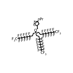 CCCC1=NOC(CO[Si](CCC(F)(F)C(F)(F)C(F)(F)C(F)(F)C(F)(F)C(F)(F)F)(CCC(F)(F)C(F)(F)C(F)(F)C(F)(F)C(F)(F)C(F)(F)F)CCC(F)(F)C(F)(F)C(F)(F)C(F)(F)C(F)(F)C(F)(F)F)C1